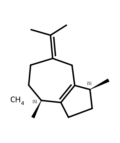 C.CC(C)=C1CC[C@H](C)C2=C(C1)[C@@H](C)CC2